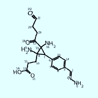 NN=Cc1ccc(C2C(N)(CCC(=O)O)C2(N)C(=O)CCC=O)cc1